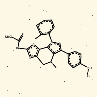 CCNc1ccc(-c2nn(-c3ccccc3C)c3c2C(C)Cc2nc(NC(=O)OC)sc2-3)cn1